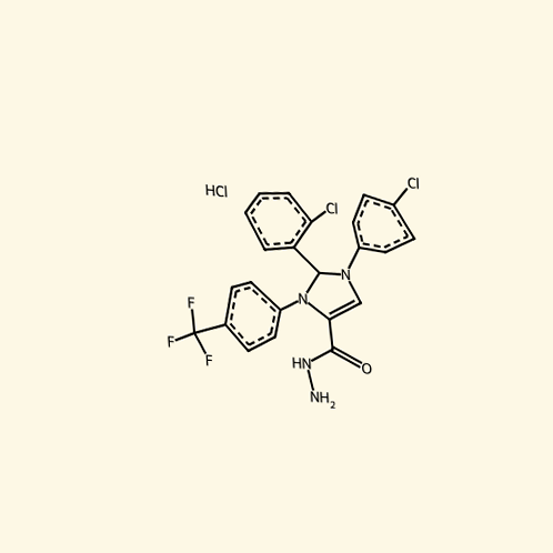 Cl.NNC(=O)C1=CN(c2ccc(Cl)cc2)C(c2ccccc2Cl)N1c1ccc(C(F)(F)F)cc1